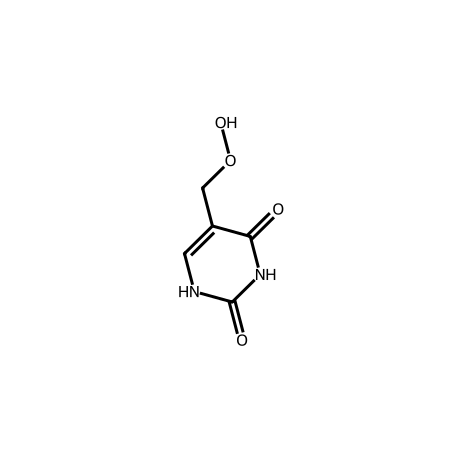 O=c1[nH]cc(COO)c(=O)[nH]1